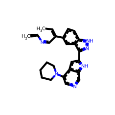 C=C/N=C\C(=C/C)c1ccc2[nH]nc(-c3cc4c(N5CCCCC5)cncc4[nH]3)c2c1